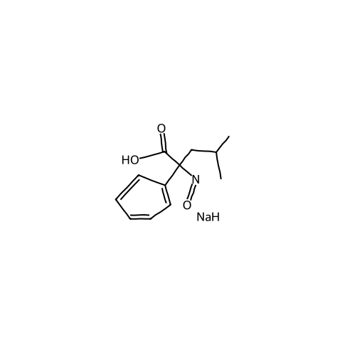 CC(C)CC(N=O)(C(=O)O)c1ccccc1.[NaH]